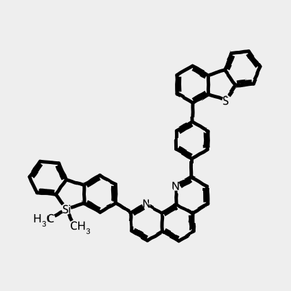 C[Si]1(C)c2ccccc2-c2ccc(-c3ccc4ccc5ccc(-c6ccc(-c7cccc8c7sc7ccccc78)cc6)nc5c4n3)cc21